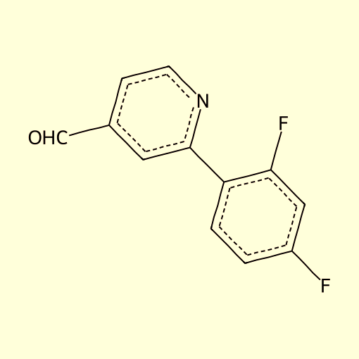 O=Cc1ccnc(-c2ccc(F)cc2F)c1